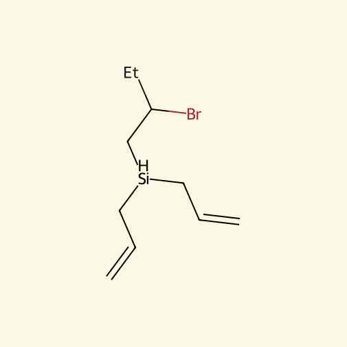 C=CC[SiH](CC=C)CC(Br)CC